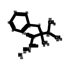 COC(=O)C(C)(Cc1ccccc1)N(C)C.I.N